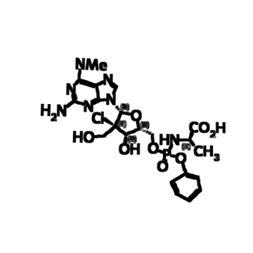 CNc1nc(N)nc2c1ncn2[C@@H]1O[C@H](COP(=O)(N[C@H](C)C(=O)O)Oc2ccccc2)[C@@H](O)[C@]1(Cl)CO